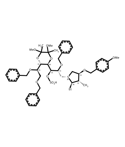 CC[C@@H]1[C@@H](C)[C@H](OCc2ccc(OC)cc2)C[S@@+]1C[C@@H](OCc1ccccc1)[C@@H](OS(=O)(=O)O)[C@@H]1OC(C)(OC)C(C)(OC)O[C@H]1[C@@H](COCc1ccccc1)OCc1ccccc1